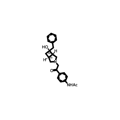 CC(=O)Nc1ccc(C(=O)CN2C[C@H]3C[C@](O)(Cc4ccccc4)[C@H]3C2)cc1